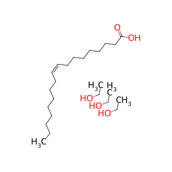 CCCCCCCC/C=C\CCCCCCCC(=O)O.CCO.CCO.CCO